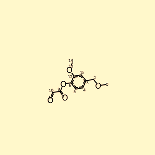 COCc1ccc(OC(=O)C=O)c(OC)c1